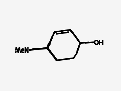 CNC1C=CC(O)CC1